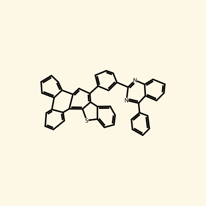 c1ccc(-c2nc(-c3cccc(-c4cc5c6ccccc6c6ccccc6c5c5sc6ccccc6c45)c3)nc3ccccc23)cc1